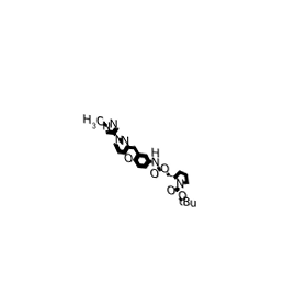 Cn1cc(-n2ccc(=O)c(Cc3cccc(NC(=O)OC[C@@H]4CCCN4C(=O)OC(C)(C)C)c3)n2)cn1